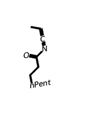 CC=C=NC(=O)CCCCCCC